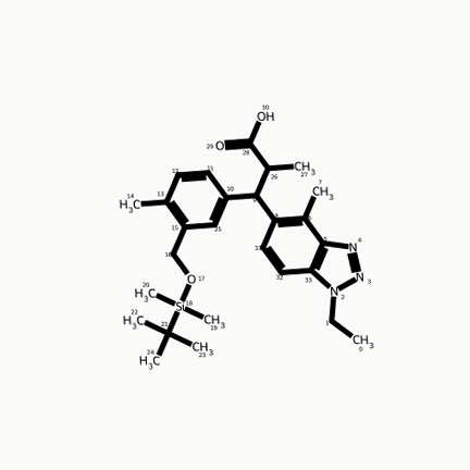 CCn1nnc2c(C)c(C(c3ccc(C)c(CO[Si](C)(C)C(C)(C)C)c3)C(C)C(=O)O)ccc21